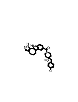 O=C(c1ccc2[nH]c3c(c2c1)CCCc1cn[nH]c1-3)N1CCC(O)(Cc2ccc(Cl)cc2)CC1